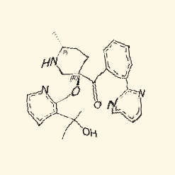 C[C@@H]1CC[C@](Oc2ncccc2C(C)(C)O)(C(=O)c2ccccc2-c2ncccn2)CN1